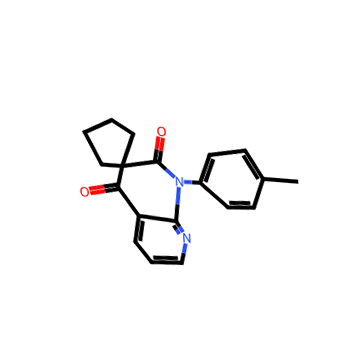 Cc1ccc(N2C(=O)C3(CCCC3)C(=O)c3cccnc32)cc1